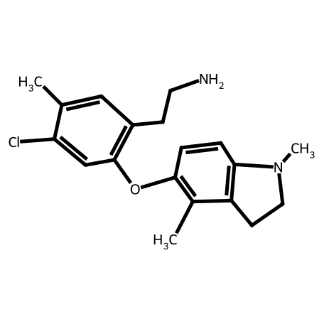 Cc1cc(CCN)c(Oc2ccc3c(c2C)CCN3C)cc1Cl